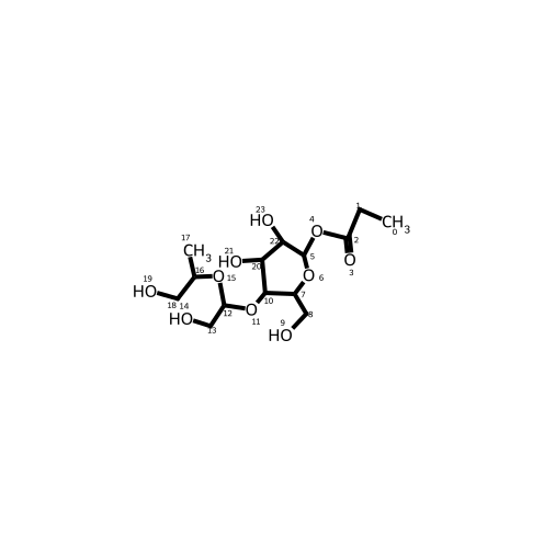 CCC(=O)OC1OC(CO)C(OC(CO)OC(C)CO)C(O)C1O